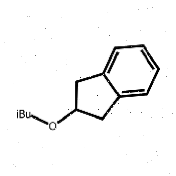 CCC(C)OC1Cc2ccccc2C1